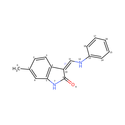 Cc1ccc2c(c1)NC(=O)/C2=C\Nc1ccccc1